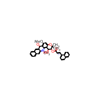 COc1cc2c(c3c1c(=O)c1cc4ccccc4cc1n3C)C(O)C(OC(=O)/C=C/c1cccc3ccccc13)C(C)(C)O2